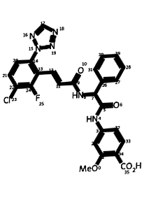 COc1cc(NC(=O)C(NC(=O)C=Cc2c(-n3ncnn3)ccc(Cl)c2F)c2ccccc2)ccc1C(=O)O